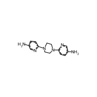 Nc1ccc(N2CCN(c3ccc(N)cn3)CC2)nc1